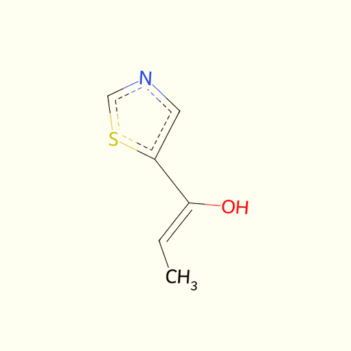 CC=C(O)c1cncs1